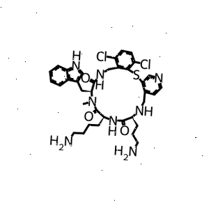 CN1C(=O)[C@H](CCCCN)NC(=O)[C@H](CCCN)NCc2ccncc2Sc2c(Cl)ccc(Cl)c2CNC(=O)[C@@H]1Cc1c[nH]c2ccccc12